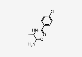 CC(NC(=O)c1ccc(Cl)cc1)C(N)=O